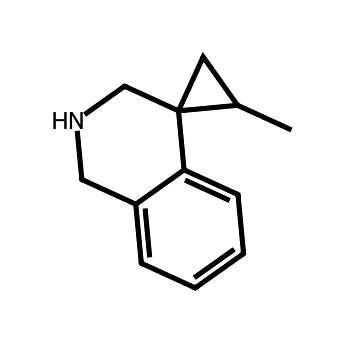 CC1CC12CNCc1ccccc12